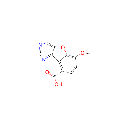 COc1ccc(C(=O)O)c2c1oc1cncnc12